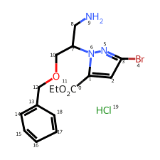 CCOC(=O)c1cc(Br)nn1C(CN)COCc1ccccc1.Cl